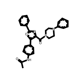 CC(=O)Nc1ccc(-c2oc(-c3ccccc3)nc2C(=O)N2CCN(c3ccccc3)CC2)cc1